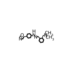 CN(C)Cc1ccccc1/C=N/Nc1ccc(-c2cnco2)cc1